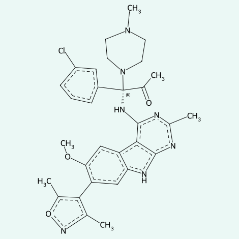 COc1cc2c(cc1-c1c(C)noc1C)[nH]c1nc(C)nc(N[C@](C(C)=O)(c3cccc(Cl)c3)N3CCN(C)CC3)c12